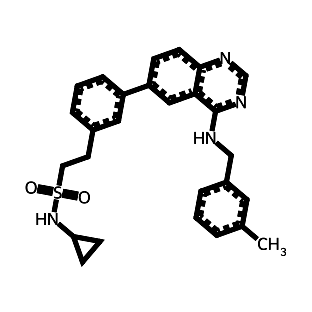 Cc1cccc(CNc2ncnc3ccc(-c4cccc(CCS(=O)(=O)NC5CC5)c4)cc23)c1